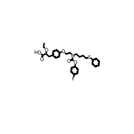 CCOC(Cc1ccc(OCCN(CCCCSc2ccccc2)C(=O)Oc2ccc(F)cc2)cc1)C(=O)O